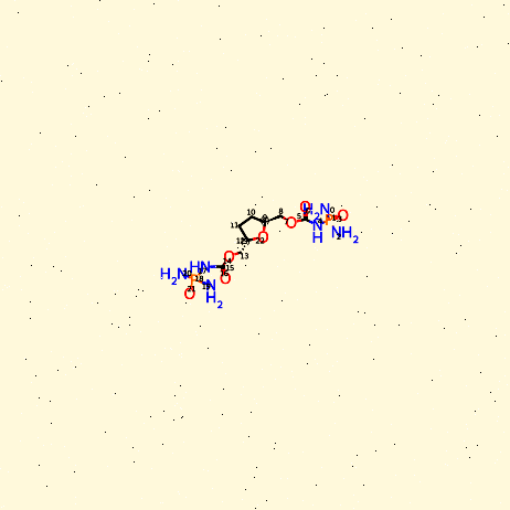 NP(N)(=O)NC(=O)OC[C@@H]1CC[C@@H](COC(=O)NP(N)(N)=O)O1